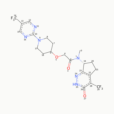 CN(C(=O)COC1CCN(c2ncc(C(F)(F)F)cn2)CC1)[C@@H]1CCc2c1n[nH]c(=O)c2C(F)(F)F